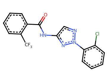 O=C(Nc1cnn(-c2ccccc2Cl)n1)c1ccccc1C(F)(F)F